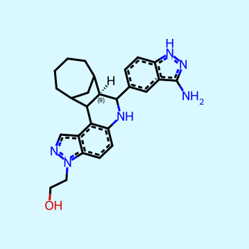 Nc1n[nH]c2ccc(C3Nc4ccc5c(cnn5CCO)c4C4C5CCCCC(C5)[C@@H]34)cc12